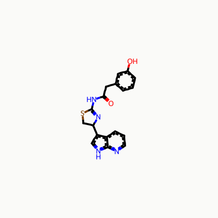 O=C(Cc1cccc(O)c1)NC1=NC(c2c[nH]c3ncccc23)CS1